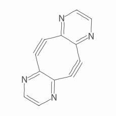 C1#Cc2nccnc2C#Cc2nccnc21